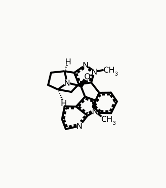 Cn1nc2c(c1-c1ccccc1)C[C@H]1CC[C@@H]2N1C(=O)c1cn(C)c2ncccc12